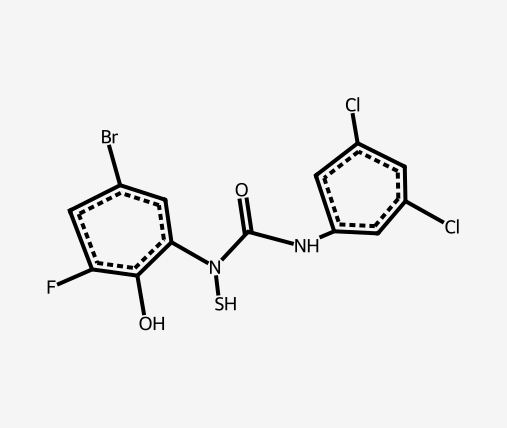 O=C(Nc1cc(Cl)cc(Cl)c1)N(S)c1cc(Br)cc(F)c1O